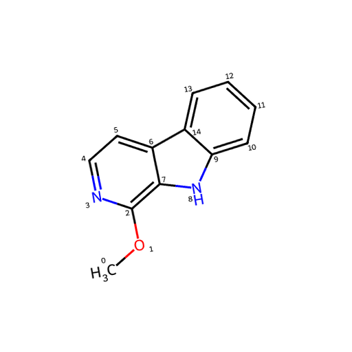 COc1nccc2c1[nH]c1ccccc12